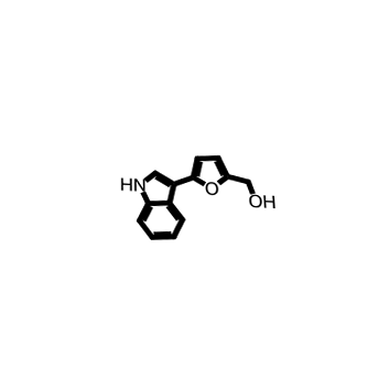 OCc1ccc(-c2c[nH]c3ccccc23)o1